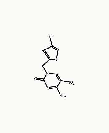 Nc1nc(=O)n(Cc2cc(Br)cs2)cc1[N+](=O)[O-]